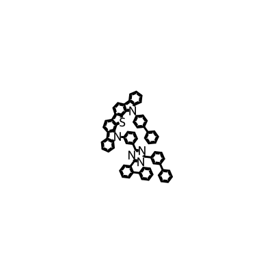 c1ccc(-c2ccc(-n3c4ccccc4c4ccc5c6ccc7c8ccccc8n(-c8cccc(-c9nc(-c%10cccc(-c%11ccccc%11)c%10)nc(-c%10ccccc%10-c%10ccccc%10)n9)c8)c7c6sc5c43)cc2)cc1